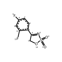 O=S1(=O)N=C(c2ccc(F)cc2F)CO1